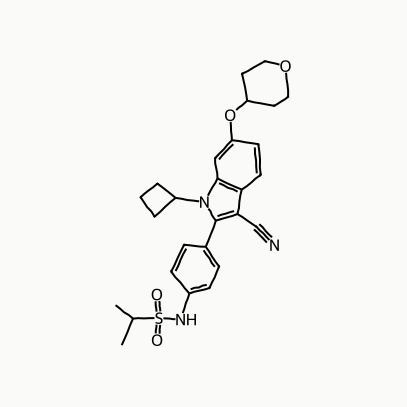 CC(C)S(=O)(=O)Nc1ccc(-c2c(C#N)c3ccc(OC4CCOCC4)cc3n2C2CCC2)cc1